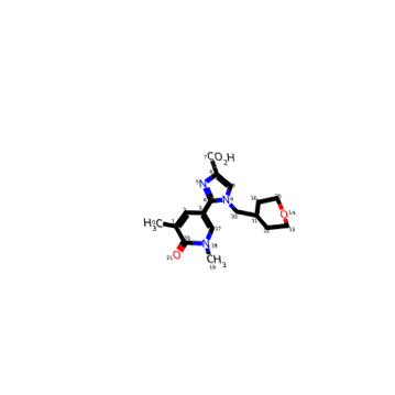 Cc1cc(-c2nc(C(=O)O)cn2CC2CCOCC2)cn(C)c1=O